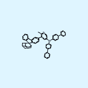 Cc1ncc(N(c2ccc(-c3ccccc3)cc2)c2ccc(-c3ccccc3)cc2)cc1-c1ccc2c(c1)-c1ccccc1C21C2CC3CC(C2)CC1C3